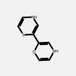 C1=COC(C2=CNC=CS2)=CN1